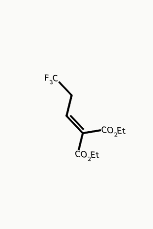 CCOC(=O)C(=CCC(F)(F)F)C(=O)OCC